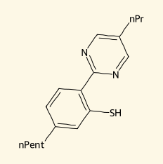 CCCCCc1ccc(-c2ncc(CCC)cn2)c(S)c1